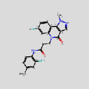 COc1ccc(NC(=O)CCn2c(=O)c3cnn(C)c3c3ccc(F)cc32)c(F)c1